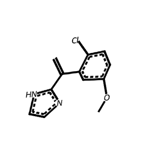 C=C(c1ncc[nH]1)c1cc(OC)ccc1Cl